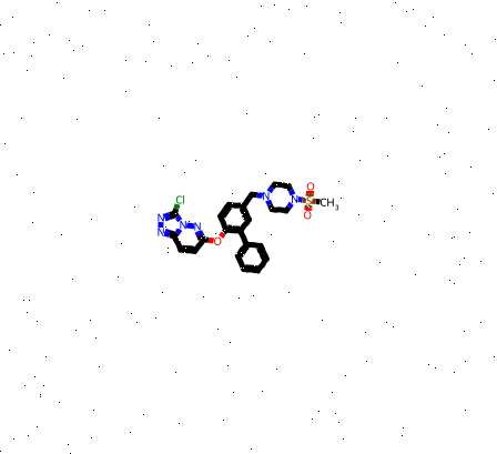 CS(=O)(=O)N1CCN(Cc2ccc(Oc3ccc4nnc(Cl)n4n3)c(-c3ccccc3)c2)CC1